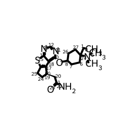 CCC1(N(C)C)CCC(Oc2ncnc3sc4c(c23)[C@@H](CC(N)=O)CC4)CC1